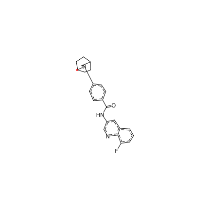 O=C(Nc1cnc2c(F)cccc2c1)c1ccc(N2CC3CCC(CC3)C2)cc1